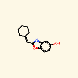 Oc1ccc2oc(C=C3CCCCC3)nc2c1